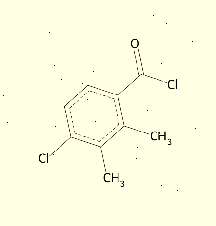 Cc1c(Cl)ccc(C(=O)Cl)c1C